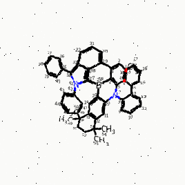 Cc1cc2c3c(c1)N(c1ccccc1-c1ccccc1)c1cc4c(cc1B3c1c3c-2cccc3c(-c2ccccc2)n1-c1ccccc1)C(C)(C)CCC4(C)C